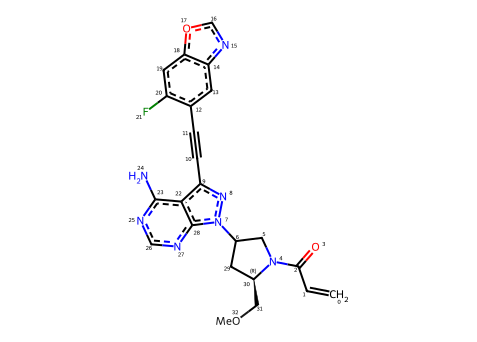 C=CC(=O)N1CC(n2nc(C#Cc3cc4ncoc4cc3F)c3c(N)ncnc32)C[C@@H]1COC